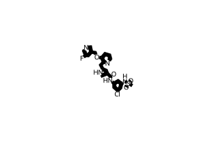 CS(=O)(=O)Nc1cc(Cl)cc(NC(=O)c2c[nH]c(Cc3ncccc3OCc3cncc(F)c3)c2)c1